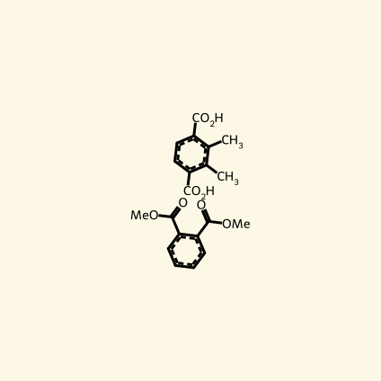 COC(=O)c1ccccc1C(=O)OC.Cc1c(C(=O)O)ccc(C(=O)O)c1C